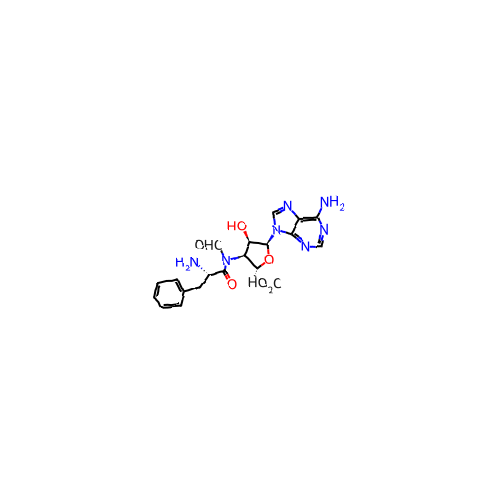 Nc1ncnc2c1ncn2[C@H]1O[C@H](C(=O)O)[C@@H](N(C=O)C(=O)[C@@H](N)Cc2ccccc2)[C@H]1O